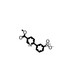 COC(=O)c1ccc(-c2cccc([N+](=O)[O-])c2)nc1